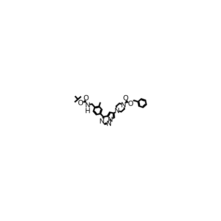 Cc1cc(-c2ncnn3cc(N4CCN(C(=O)OCc5ccccc5)CC4)cc23)ccc1CNC(=O)OC(C)(C)C